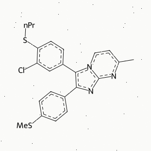 CCCSc1ccc(-c2c(-c3ccc(SC)cc3)nc3nc(C)ccn23)cc1Cl